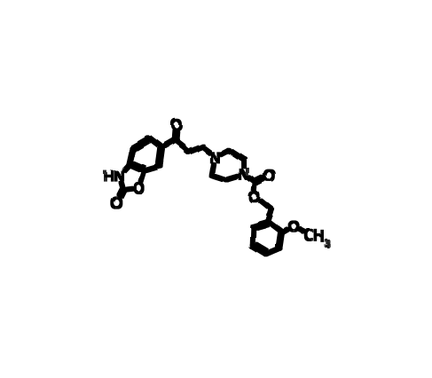 COc1ccccc1COC(=O)N1CCN(CCC(=O)c2ccc3[nH]c(=O)oc3c2)CC1